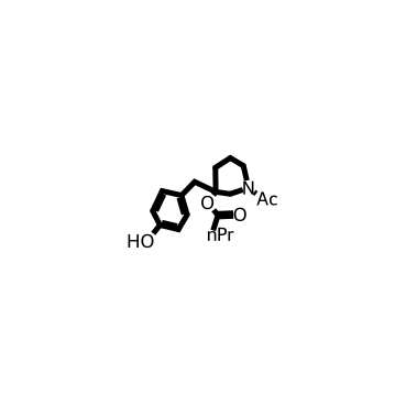 CCCC(=O)OC1(Cc2ccc(O)cc2)CCCN(C(C)=O)C1